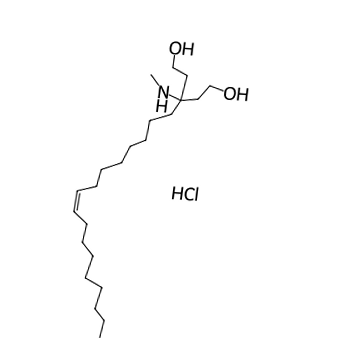 CCCCCCCC/C=C\CCCCCCCC(CCO)(CCO)NC.Cl